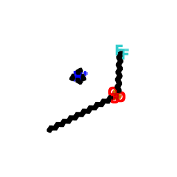 CCCCCCCCCCCCCCCCCCCCOS(=O)(=O)CCCCCCCCCCC(F)F.CC[N+](CC)(CC)CC